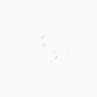 O=C1CCCCCN1SSN1CCCCCC1=O